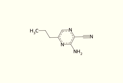 CCCc1cnc(C#N)c(N)n1